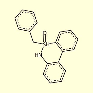 O=[SH]1(Cc2ccccc2)Nc2ccccc2-c2ccccc21